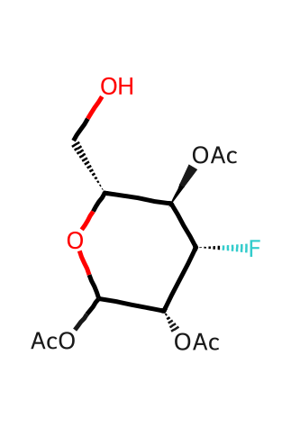 CC(=O)OC1O[C@H](CO)[C@@H](OC(C)=O)[C@H](F)[C@@H]1OC(C)=O